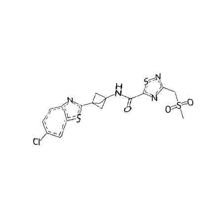 CS(=O)(=O)Cc1nsc(C(=O)NC23CC(c4nc5ccc(Cl)cc5s4)(C2)C3)n1